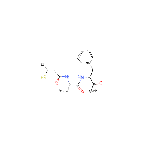 CCC(S)CC(=O)N[C@@H](CC(C)C)C(=O)N[C@@H](Cc1ccccc1)C(=O)NC